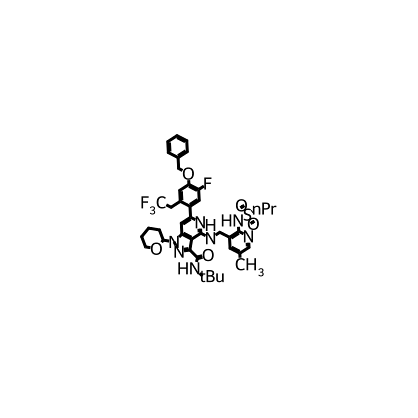 CCCS(=O)(=O)Nc1ncc(C)cc1CNc1nc(-c2cc(F)c(OCc3ccccc3)cc2CC(F)(F)F)cc2c1c(C(=O)NC(C)(C)C)nn2C1CCCCO1